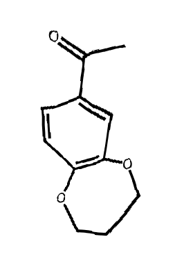 CC(=O)c1ccc2c(c1)OCCCO2